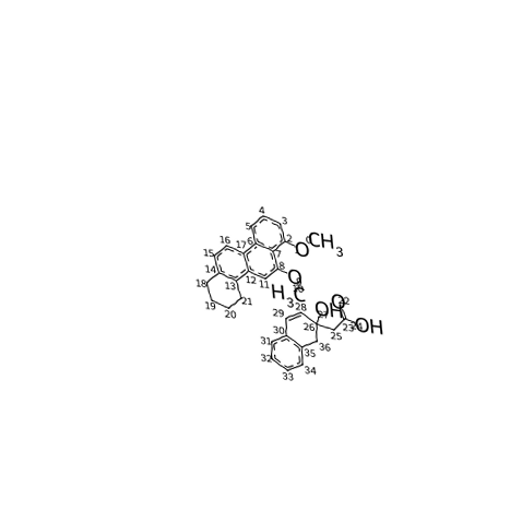 COc1cccc2c1c(OC)cc1c3c(ccc12)CCCC3.O=C(O)CC1(O)C=Cc2ccccc2C1